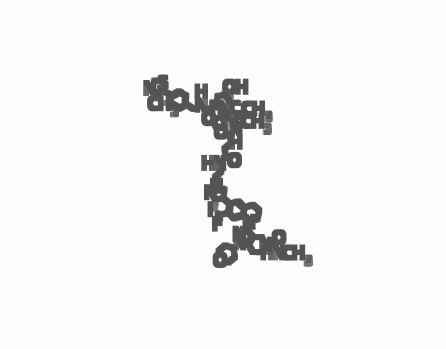 CNC(=O)N1CCc2c(c(N3CCCc4cc(C5C=NN(CCNC(=O)CCC(=O)N[C@H](C(=O)N6C[C@@H](O)C[C@H]6C(=O)NCc6ccc(-c7scnc7C)cc6)C(C)(C)C)C5)c(C(F)F)cc43)nn2C2CCOCC2)C1